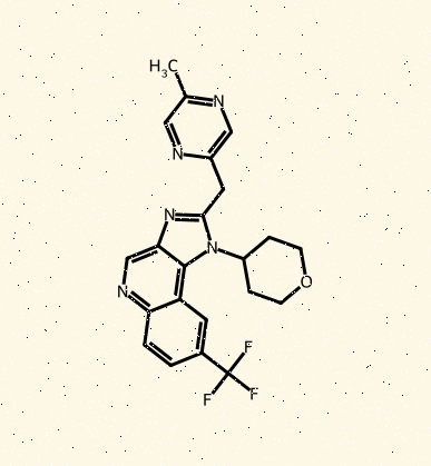 Cc1cnc(Cc2nc3cnc4ccc(C(F)(F)F)cc4c3n2C2CCOCC2)cn1